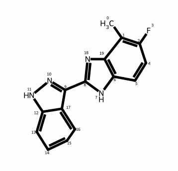 Cc1c(F)ccc2[nH]c(-c3n[nH]c4ccccc34)nc12